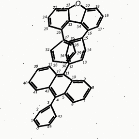 c1ccc(-c2c3ccccc3c(-c3ccc(-c4cccc5oc6cccc(-c7ccccc7)c6c45)cc3)c3ccccc23)cc1